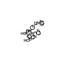 O=C(O)/C=C(/C(=O)O)N1c2cccnc2N(Cc2ccccn2)C1NC1CCN(CCNc2ncccn2)CC1